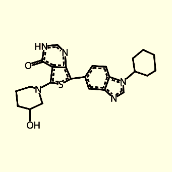 O=c1[nH]cnc2c(-c3ccc4c(c3)ncn4C3CCCCC3)sc(N3CCCC(O)C3)c12